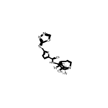 C[C@H]1[C@H](NC(=O)c2ccc(Sc3nnco3)s2)C2CCN1CC2